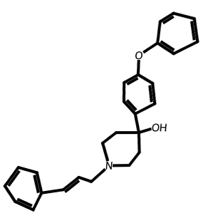 OC1(c2ccc(Oc3ccccc3)cc2)CCN(C/C=C/c2ccccc2)CC1